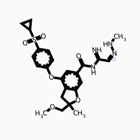 CN/N=C\C(=N)NC(=O)c1cc(Oc2ccc(S(=O)(=O)C3CC3)cc2)c2c(c1)OC(C)(COC)C2